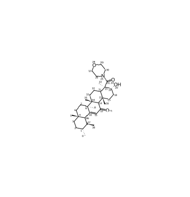 C[C@@H]1CC[C@]2(C)CC[C@]3(C)C(=CC(=O)C4[C@@]5(C)CC[C@@H](O)[C@](C)(C(=O)N6CCOCC6)C5CC[C@]43C)C2[C@H]1C